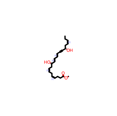 CC/C=C\C[C@H](O)C#C/C=C/C=C/[C@H](O)C/C=C\C/C=C\CCC(=O)OC